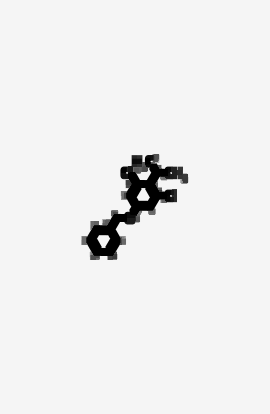 CC(C)c1c(Cl)cc(OCc2ccccc2)cc1Cl